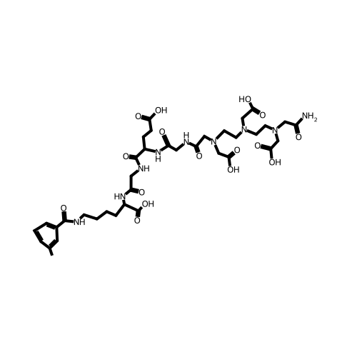 Cc1cccc(C(=O)NCCCCC(NC(=O)CNC(=O)C(CCC(=O)O)NC(=O)CNC(=O)CN(CCN(CCN(CC(N)=O)CC(=O)O)CC(=O)O)CC(=O)O)C(=O)O)c1